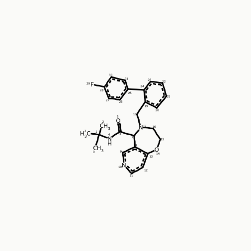 CC(C)(C)NC(=O)C1c2cnccc2OCCN1Cc1ccccc1-c1ccc(F)cc1